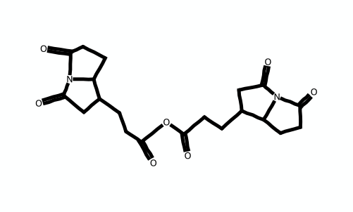 O=C(CCC1CC(=O)N2C(=O)CCC12)OC(=O)CCC1CC(=O)N2C(=O)CCC12